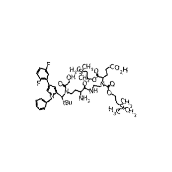 CC(C)(C)C(c1cc(-c2cc(F)ccc2F)cn1Cc1ccccc1)N(CCC(N)C(=O)NCCN(C(=O)OCC[Si](C)(C)C)C(CCC(=O)O)C(=O)OCC[Si](C)(C)C)C(=O)CO